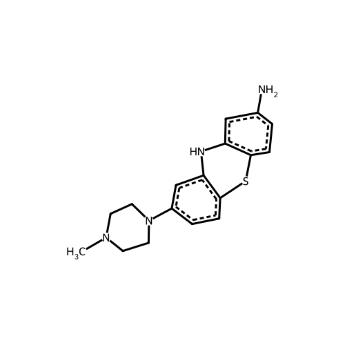 CN1CCN(c2ccc3c(c2)Nc2cc(N)ccc2S3)CC1